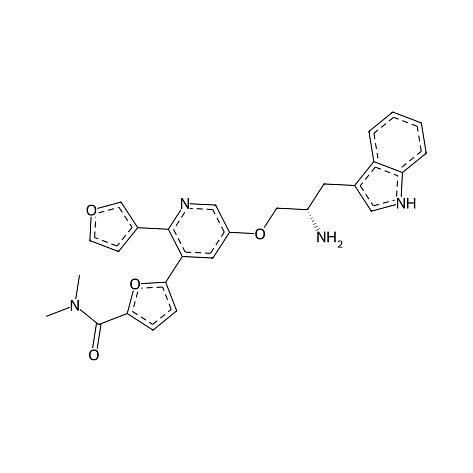 CN(C)C(=O)c1ccc(-c2cc(OC[C@@H](N)Cc3c[nH]c4ccccc34)cnc2-c2ccoc2)o1